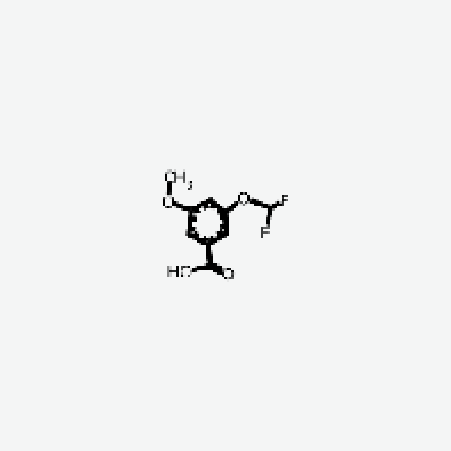 COc1cc(OC(F)F)cc(C(=O)O)c1